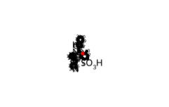 Cc1ccc(S(=O)(=O)O)cc1.O=C(N[C@@H]1C2CCN(CC2)[C@H]1Cc1cccnc1)c1cc2ccccc2o1